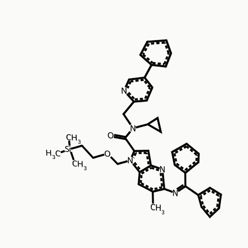 Cc1cc2c(cc(C(=O)N(Cc3ccc(-c4ccccc4)cn3)C3CC3)n2COCC[Si](C)(C)C)nc1N=C(c1ccccc1)c1ccccc1